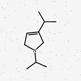 CC(C)C1=CCN(C(C)C)C1